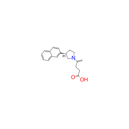 C=C(CCC(=O)O)N1CC[C@H](c2ccc3ccccc3c2)C1